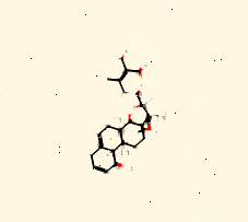 CC1=C(CO)C(=O)O[C@@H]([C@@]2(C)O[C@@]34CC[C@@H]2[C@@]3(C)CC[C@H]2[C@H]4CC=C3CC=CC(=O)[C@@]32C)C1